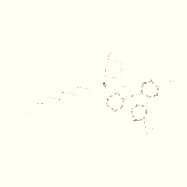 COc1ccc(C(OC[C@H]2CC[C@@H](O)CN2C(=O)CCCCCCCCCCC=O)(c2ccccc2)c2ccc(OC)cc2)cc1